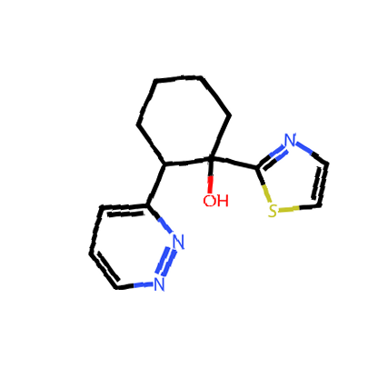 OC1(c2nccs2)CCCCC1c1cccnn1